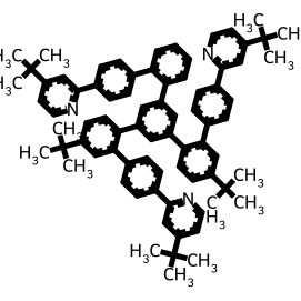 CC(C)(C)c1ccnc(-c2ccc(-c3ccccc3-c3cc(-c4ccc(C(C)(C)C)cc4-c4ccc(-c5cc(C(C)(C)C)ccn5)cc4)cc(-c4ccc(C(C)(C)C)cc4-c4ccc(-c5cc(C(C)(C)C)ccn5)cc4)c3)cc2)c1